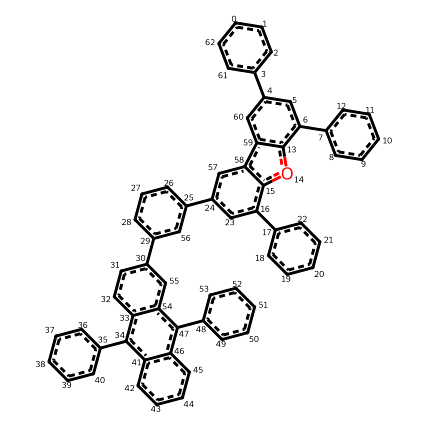 c1ccc(-c2cc(-c3ccccc3)c3oc4c(-c5ccccc5)cc(-c5cccc(-c6ccc7c(-c8ccccc8)c8ccccc8c(-c8ccccc8)c7c6)c5)cc4c3c2)cc1